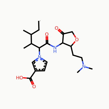 [CH2]CC(C)C(C)C(C(=O)NC1C(=O)COC1CCN(C)C)n1ccc(C(=O)O)c1